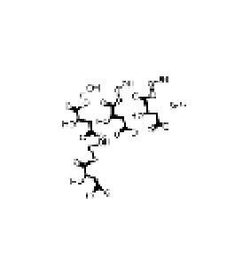 O=C([O-])CC(O)C(=O)OOO.O=C([O-])CC(O)C(=O)OOO.O=C([O-])CC(O)C(=O)OOO.O=C([O-])CC(O)C(=O)OOO.[Sn+4]